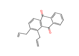 C=CCc1ccc2c(c1CC=C)C(=O)c1ccccc1C2=O